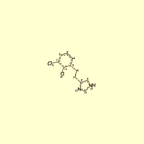 Clc1cccc(CCc2c[nH]cn2)c1Cl